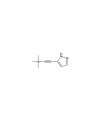 C[Si](C)(C)C#Cc1ccn[nH]1